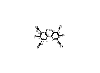 Cc1c(-c2cc(C#N)c(F)c(C#N)c2C)cc(C#N)c(F)c1C#N